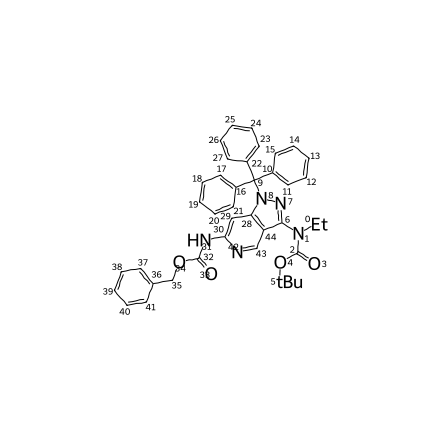 CCN(C(=O)OC(C)(C)C)c1nn(C(c2ccccc2)(c2ccccc2)c2ccccc2)c2cc(NC(=O)OCc3ccccc3)ncc12